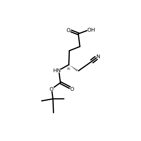 CC(C)(C)OC(=O)N[C@@H](CC#N)CCC(=O)O